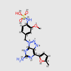 COc1cc(Cn2nnc3c(-c4ccc(C)o4)nc(N)nc32)ccc1NS(=O)(=O)O